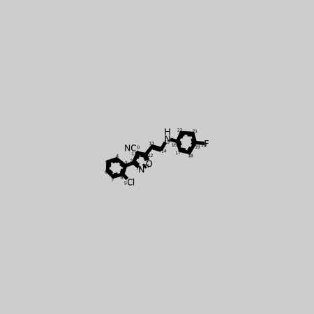 N#Cc1c(-c2ccccc2Cl)noc1C=CNc1ccc(F)cc1